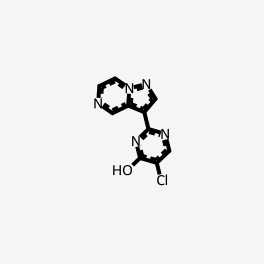 Oc1nc(-c2cnn3ccncc23)ncc1Cl